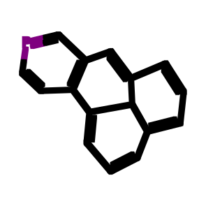 C1=CC2=CC=CC3=Cc4cpccc4C(=C1)C23